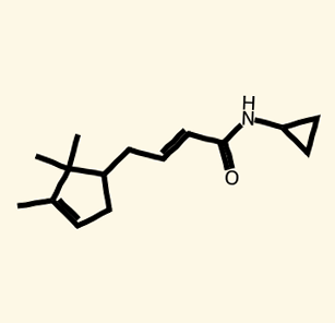 CC1=CCC(CC=CC(=O)NC2CC2)C1(C)C